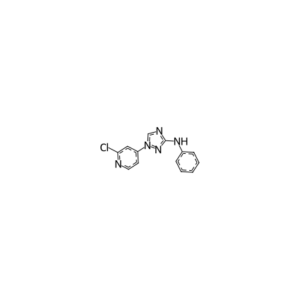 Clc1cc(-n2cnc(Nc3ccccc3)n2)ccn1